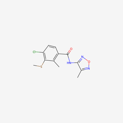 CSc1c(Cl)ccc(C(=O)Nc2nonc2C)c1C